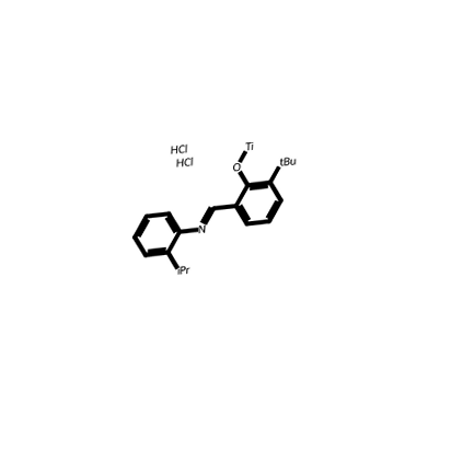 CC(C)c1ccccc1N=Cc1cccc(C(C)(C)C)c1[O][Ti].Cl.Cl